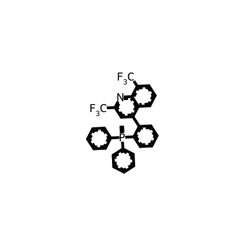 C=P(c1ccccc1)(c1ccccc1)c1ccccc1-c1cc(C(F)(F)F)nc2c(C(F)(F)F)cccc12